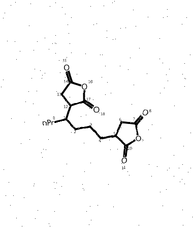 CCCC(CCCC1CC(=O)OC1=O)C1CC(=O)OC1=O